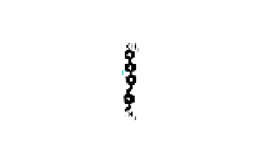 CCCc1ccc(CCc2ccc(-c3ccc(-c4ccc(C)cc4)cc3F)cc2)cc1